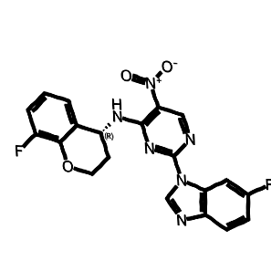 O=[N+]([O-])c1cnc(-n2cnc3ccc(F)cc32)nc1N[C@@H]1CCOc2c(F)cccc21